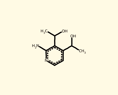 CC(O)c1ccnc(N)c1C(C)O